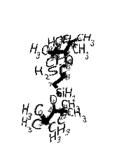 CC(C)(C)C(O[SiH2]CC[SiH2]OC(C(C)(C)C)C(C)(C)C)C(C)(C)C